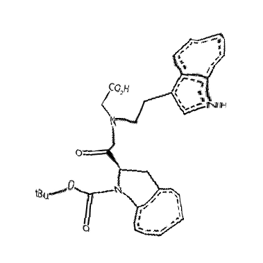 CC(C)(C)OC(=O)N1c2ccccc2C[C@@H]1C(=O)N(CCc1c[nH]c2ccccc12)CC(=O)O